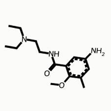 CCN(CC)CCNC(=O)c1cc(N)cc(C)c1OC